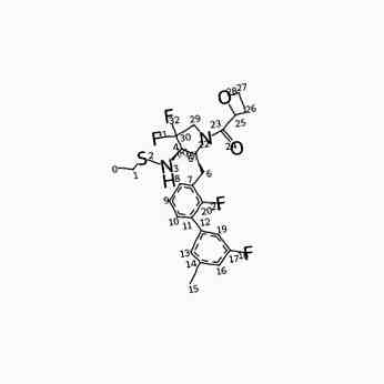 CCSN[C@@H]1[C@H](Cc2cccc(-c3cc(C)cc(F)c3)c2F)N(C(=O)C2CCO2)CC1(F)F